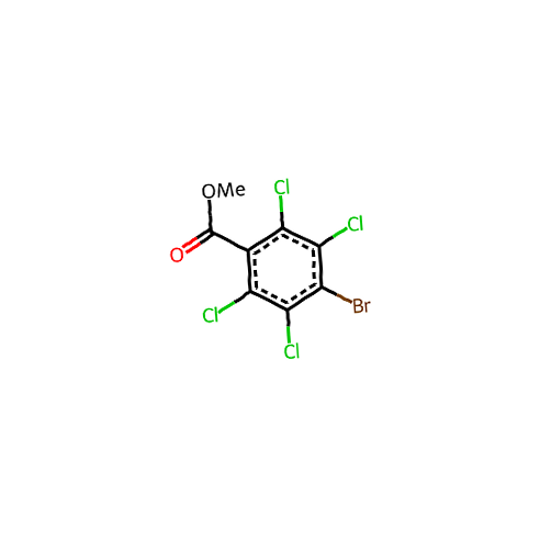 COC(=O)c1c(Cl)c(Cl)c(Br)c(Cl)c1Cl